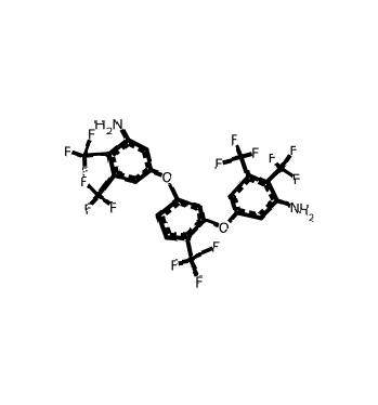 Nc1cc(Oc2ccc(C(F)(F)F)c(Oc3cc(N)c(C(F)(F)F)c(C(F)(F)F)c3)c2)cc(C(F)(F)F)c1C(F)(F)F